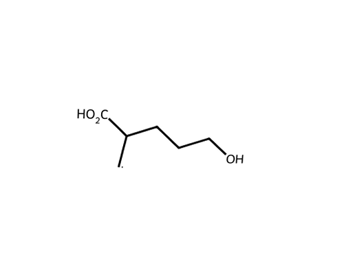 [CH2]C(CCCO)C(=O)O